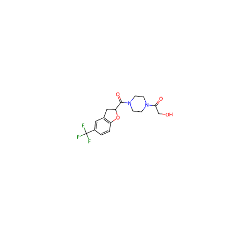 O=C(CO)N1CCN(C(=O)C2Cc3cc(C(F)(F)F)ccc3O2)CC1